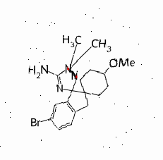 COC1CCC2(CC1)Cc1ccc(Br)cc1C21N=C(N)N2CC(C)(C)CN=C21